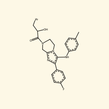 Cc1ccc(Nc2c(-c3ccc(F)cc3)nc3n2CCN(C(=O)C(O)CC(C)C)C3)cc1